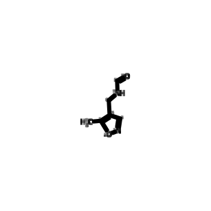 Cc1oncc1CNC=O